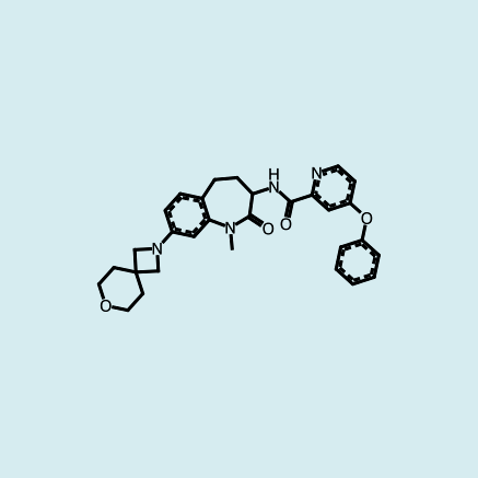 CN1C(=O)C(NC(=O)c2cc(Oc3ccccc3)ccn2)CCc2ccc(N3CC4(CCOCC4)C3)cc21